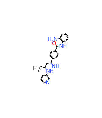 CC(CC(=N)c1ccc(C(=O)Nc2ccccc2N)cc1)Nc1cccnc1